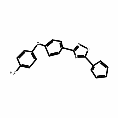 Cc1ccc(Oc2ccc(-c3noc(-c4ccccc4)n3)cc2)cc1